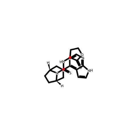 O=C1OCCC1NC(=S)N1[C@@H]2CC[C@H]1CN(c1ncnc3[nH]ccc13)C2